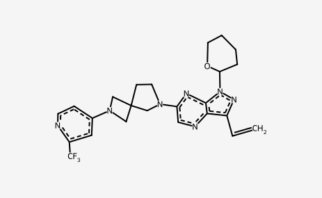 C=Cc1nn(C2CCCCO2)c2nc(N3CCC4(CN(c5ccnc(C(F)(F)F)c5)C4)C3)cnc12